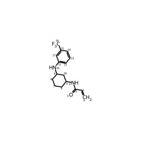 C=CC(=O)NC1CCCC(Nc2cccc(C(F)(F)F)c2)C1